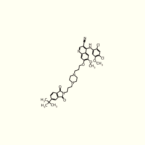 COc1cc(Nc2c(C#N)cnc3cc(OCCCN4CCN(CCCN5C(=O)c6ccc(C(C)(C)C)cc6C5=O)CC4)c(OC)cc23)c(Cl)cc1Cl